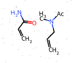 C=CC(N)=O.C=CCN(C)C(C)=O